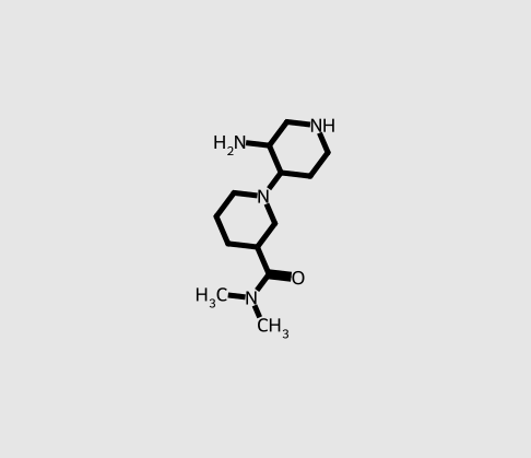 CN(C)C(=O)C1CCCN(C2CCNCC2N)C1